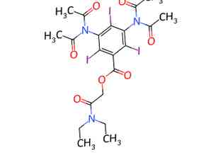 CCN(CC)C(=O)COC(=O)c1c(I)c(N(C(C)=O)C(C)=O)c(I)c(N(C(C)=O)C(C)=O)c1I